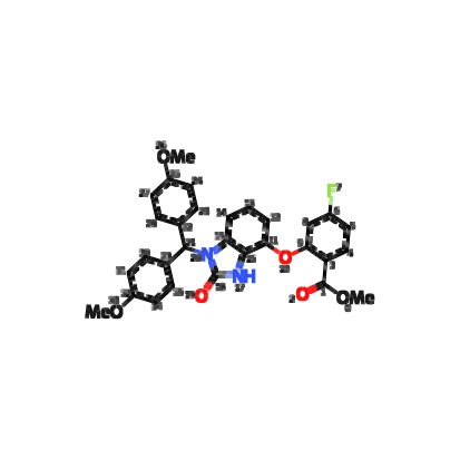 COC(=O)c1ccc(F)cc1Oc1cccc2c1[nH]c(=O)n2C(c1ccc(OC)cc1)c1ccc(OC)cc1